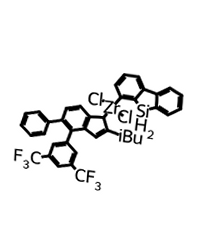 CCC(C)C1=Cc2c(ccc(-c3ccccc3)c2-c2cc(C(F)(F)F)cc(C(F)(F)F)c2)[CH]1[Zr]([Cl])([Cl])[c]1cccc2c1[SiH2]c1ccccc1-2